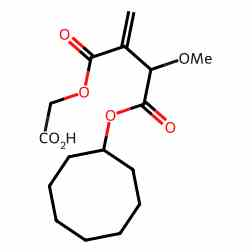 C=C(C(=O)OCC(=O)O)C(OC)C(=O)OC1CCCCCCC1